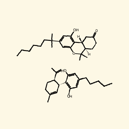 C=C(C)[C@@H]1CCC(C)=C[C@H]1c1c(O)cc(CCCCC)cc1O.CCCCCCC(C)(C)c1cc(O)c2c(c1)OC(C)(C)[C@@H]1CCC(=O)C[C@@H]21